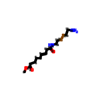 COC(=O)CCCCC=CCC(=O)NCCSSCCN